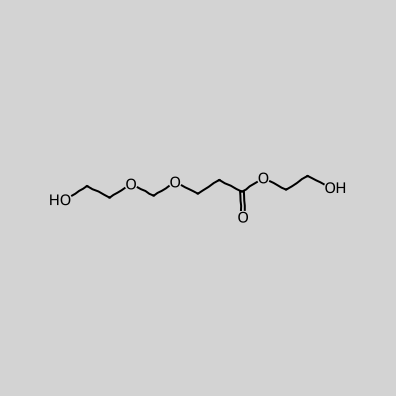 O=C(CCOCOCCO)OCCO